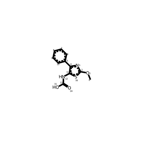 COc1nc(-c2ccccc2)c(NC(=O)O)s1